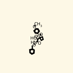 COc1ccc(S(=O)(=O)C2(C(O)C(=O)NOCc3ccccc3)CCC2)cc1